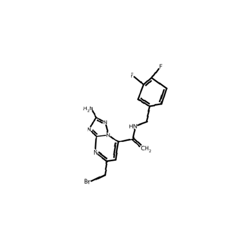 C=C(NCc1ccc(F)c(F)c1)c1cc(CBr)nc2nc(N)nn12